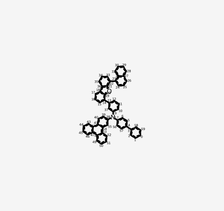 c1ccc(-c2ccc(N(c3cccc(-c4cccc5c4oc4c(-c6cccc7ccccc67)cccc45)c3)c3ccc4c5ccccc5c5ccccc5c4c3)cc2)cc1